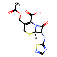 CC(=O)OCC1=C(C(=O)O)N2C(=O)[C@@H](Nc3ncns3)[C@H]2SC1